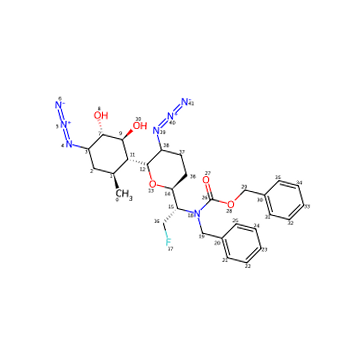 C[C@H]1CC(N=[N+]=[N-])[C@H](O)[C@@H](O)[C@@H]1C1O[C@H]([C@@H](CF)N(Cc2ccccc2)C(=O)OCc2ccccc2)CCC1N=[N+]=[N-]